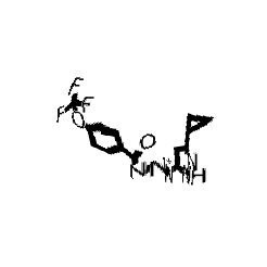 O=C(N=[N+]=Nc1cc(C2CC2)n[nH]1)c1ccc(OC(F)(F)F)cc1